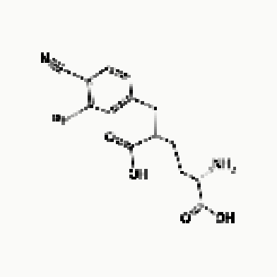 N#Cc1ccc(CC(CC[C@H](N)C(=O)O)C(=O)O)cc1[18F]